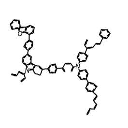 C=C/C=C\C=C\c1ccc(-c2ccc(N(C(=C)/C=C\C(=C)c3ccc(C4=Cc5c(n(/C(C=C)=C/C=C)c6ccc(-c7ccc(-c8cccc9c8oc8ccccc89)cc7)cc56)CC4)cc3)c3ccc(/C(C=C)=C/C=C/c4ccccc4)cc3)cc2)cc1